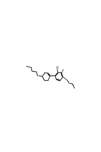 CCCCCC1CC=C(c2ccc(CCCC)c(F)c2Cl)CC1